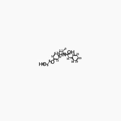 C[C@H](Cc1ccc(OCCO)cc1)N[C@H](O)Cc1ccccc1